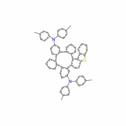 Cc1ccc(N(c2ccc(C)cc2)c2ccc3c4ccccc4c4ccc(N(c5ccc(C)cc5)c5ccc(C)cc5)cc4c4ccc5sc6ccccc6c5c4c4ccccc4c3c2)cc1